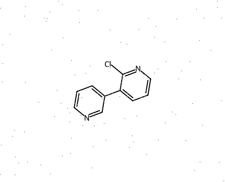 Clc1ncccc1-c1cccnc1